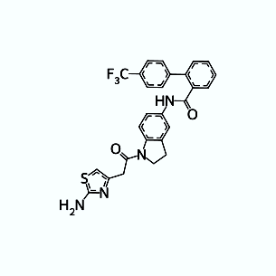 Nc1nc(CC(=O)N2CCc3cc(NC(=O)c4ccccc4-c4ccc(C(F)(F)F)cc4)ccc32)cs1